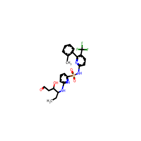 CCC(Nc1cccc(S(=O)(=O)Nc2ccc(C(F)(F)F)c(-c3ccccc3C)n2)n1)C(O)CC=O